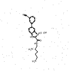 Cl.Cl.N#Cc1cccc(-c2ccc3[nH]c(C(=O)NC[C@@H](N)CCCN)nc3c2)c1